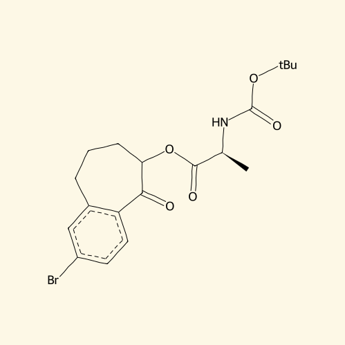 C[C@H](NC(=O)OC(C)(C)C)C(=O)OC1CCCc2cc(Br)ccc2C1=O